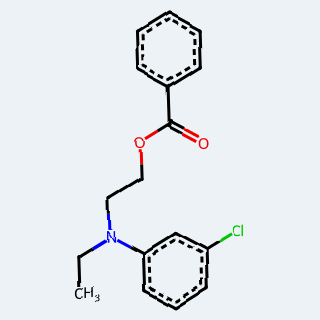 CCN(CCOC(=O)c1ccccc1)c1cccc(Cl)c1